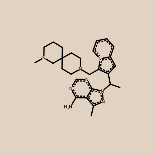 Cc1nn(C(C)c2cc3ccccn3c2CN2CCC3(CCCN(C)C3)CC2)c2ncnc(N)c12